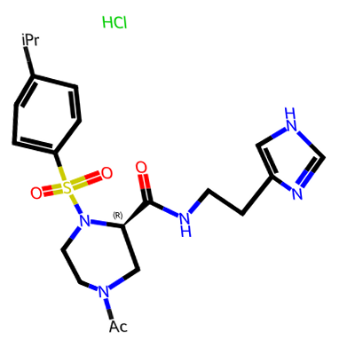 CC(=O)N1CCN(S(=O)(=O)c2ccc(C(C)C)cc2)[C@@H](C(=O)NCCc2c[nH]cn2)C1.Cl